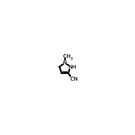 CN1[C]C=C(C#N)N1